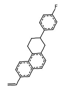 C=Cc1ccc2c3c(ccc2c1)CC(c1ccc(F)cc1)CC3